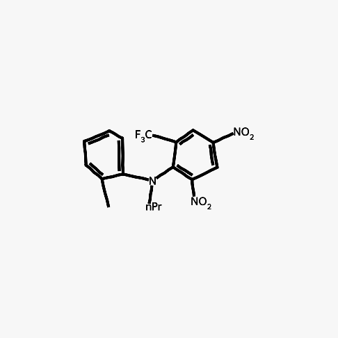 CCCN(c1ccccc1C)c1c([N+](=O)[O-])cc([N+](=O)[O-])cc1C(F)(F)F